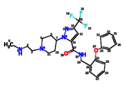 CNCCN1CCC(n2nc(C(F)(F)F)cc2C(=O)NCc2ccccc2Oc2ccccc2)CC1